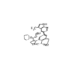 C1CCCCC1.Cc1c[nH]c2ncc(-c3cc4c(c(C5CCCN5C(=O)OC(C)(C)C)c3)C(C=O)NCC4)cc12